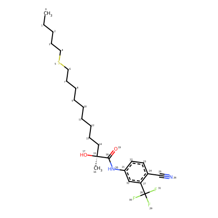 CCCCCSCCCCCCCCC[C@](C)(O)C(=O)Nc1ccc(C#N)c(C(F)(F)F)c1